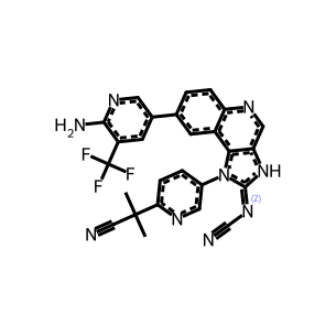 CC(C)(C#N)c1ccc(-n2/c(=N\C#N)[nH]c3cnc4ccc(-c5cnc(N)c(C(F)(F)F)c5)cc4c32)cn1